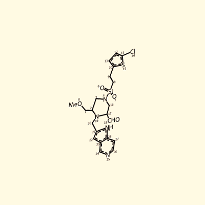 COCC1CN(S(=O)(=O)CCc2ccc(Cl)s2)CC(C=O)N1Cc1cc2cnccc2[nH]1